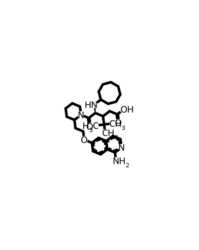 CC(C)(C)C(CC(=O)O)[C@H](NC1CCCCCCC1)C(=O)N1CCCCC1CCOc1ccc2c(N)nccc2c1